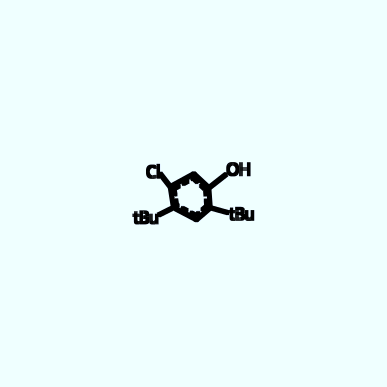 CC(C)(C)c1cc(C(C)(C)C)c(Cl)cc1O